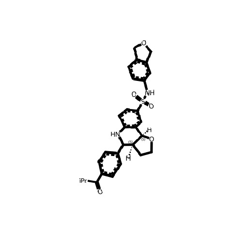 CC(C)C(=O)c1ccc(C2Nc3ccc(S(=O)(=O)Nc4ccc5c(c4)COC5)cc3[C@H]3OCC[C@@H]23)cc1